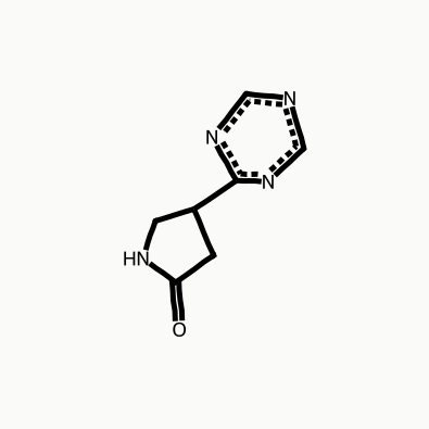 O=C1CC(c2ncncn2)CN1